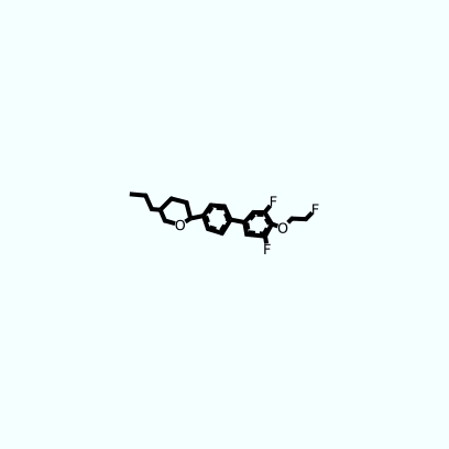 CCCC1CCC(c2ccc(-c3cc(F)c(OCCF)c(F)c3)cc2)OC1